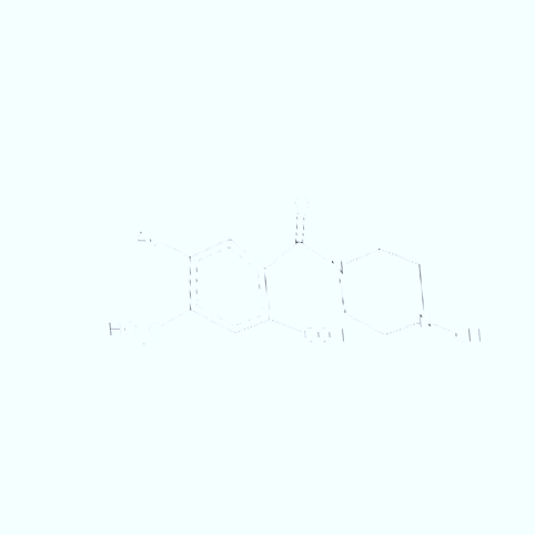 CC(=O)c1cc(C(=O)N2CCN(C)CC2)c(C(=O)O)cc1C(=O)O